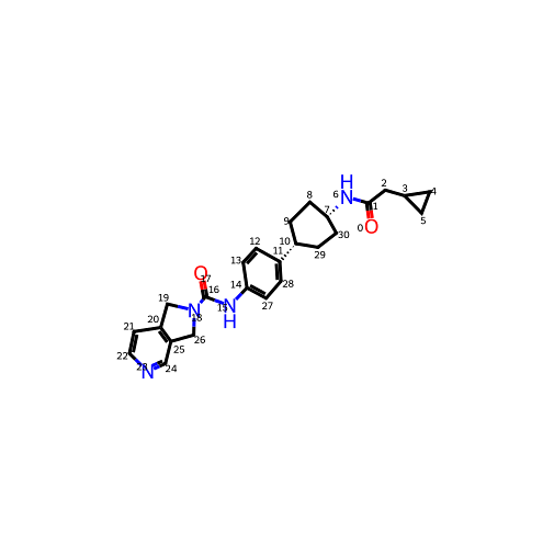 O=C(CC1CC1)N[C@H]1CC[C@@H](c2ccc(NC(=O)N3Cc4ccncc4C3)cc2)CC1